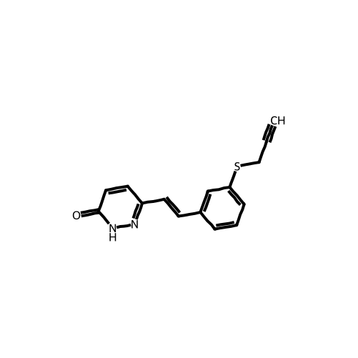 C#CCSc1cccc(C=Cc2ccc(=O)[nH]n2)c1